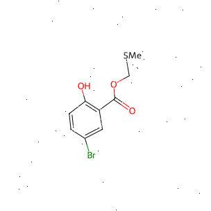 CSCOC(=O)c1cc(Br)ccc1O